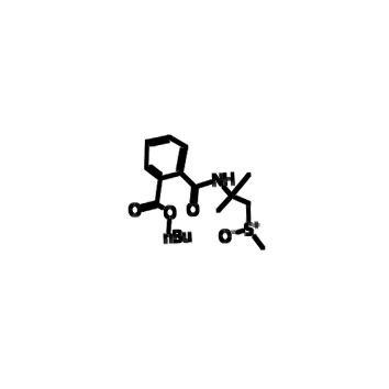 CCCCOC(=O)c1ccccc1C(=O)NC(C)(C)C[S+](C)[O-]